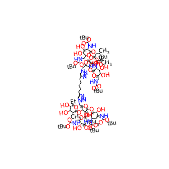 CC[C@@H]1O[C@H](OC2[C@@H](Cn3cc(CCCCCc4cn(C[C@H]5O[C@@H](O[C@H]6C(O[C@H]7OC(CNC(=O)OC(C)(C)C)C(O)[C@H](O)C7NC(=O)OC(C)(C)C)C(C)C[C@@H](C)C6O)[C@@H](O)C5O[C@H]5O[C@@H](CNC(=O)OC(C)(C)C)C(O)C(O)C5NC(=O)OC(C)(C)C)nn4)nn3)O[C@@H](O[C@H]3C(O[C@H]4OC(CNC(=O)OC(C)(C)C)C(O)[C@H](O)C4C)C(NC(=O)OC(C)(C)C)C[C@@H](NC(=O)OC(C)(C)C)C3O)[C@H]2O)C(C)C(O)C1O